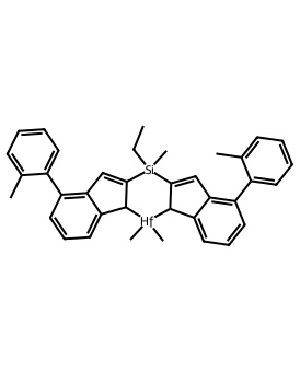 CC[Si]1(C)C2=Cc3c(-c4ccccc4C)cccc3[CH]2[Hf]([CH3])([CH3])[CH]2C1=Cc1c(-c3ccccc3C)cccc12